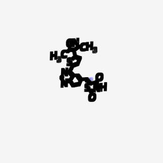 Cc1noc(C)c1-c1ccc(-c2ncnc3ccc(/C=C4\SC(=O)NC4=O)cc23)s1